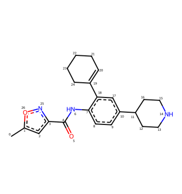 Cc1cc(C(=O)Nc2ccc(C3CCNCC3)cc2C2=CCCCC2)no1